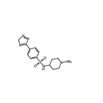 CC(C)(C)N1CCC(NS(=O)(=O)c2ccc(C3=NCN=N3)cc2)CC1